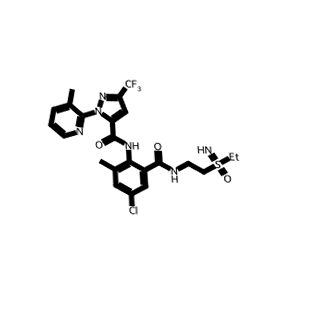 CCS(=N)(=O)CCNC(=O)c1cc(Cl)cc(C)c1NC(=O)c1cc(C(F)(F)F)nn1-c1ncccc1C